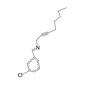 CCCCCC#CCN=Cc1cccc(Cl)c1